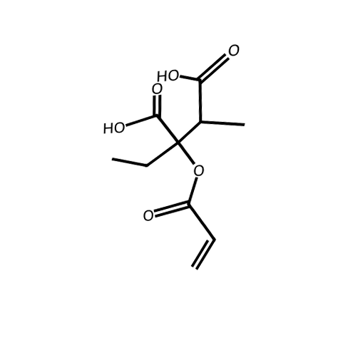 C=CC(=O)OC(CC)(C(=O)O)C(C)C(=O)O